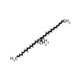 C=CC.CCCCCCCCCCCCCCCCCCOCCCCCCCCCCCCCCCCCC